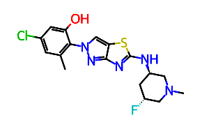 Cc1cc(Cl)cc(O)c1-n1cc2sc(N[C@@H]3C[C@@H](F)CN(C)C3)nc2n1